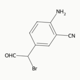 N#Cc1cc(C(Br)C=O)ccc1N